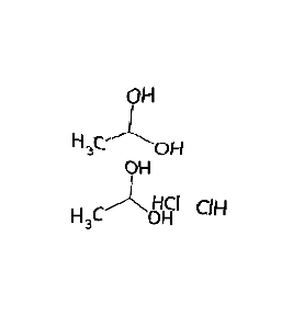 CC(O)O.CC(O)O.Cl.Cl